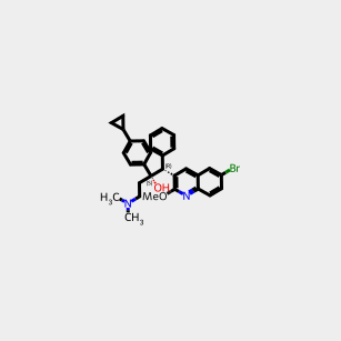 COc1nc2ccc(Br)cc2cc1[C@@H](c1ccccc1)[C@@](O)(CCN(C)C)c1ccc(C2CC2)cc1